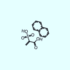 C=C(C(=O)O)S(=O)(=O)O.c1ccc2ccccc2c1